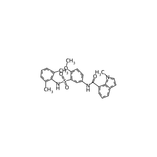 COc1ccc(NC(=O)c2cccc3ccn(C)c23)cc1S(=O)(=O)Nc1c(C)cccc1C